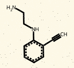 C#Cc1ccccc1NCCN